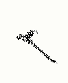 Cc1ccc(NC(=O)[C@H](CCCNC(N)=O)NC(=O)[C@@H](NC(=O)CCOCCOCCOCCOCCOCCOCCN)C(C)C)cc1